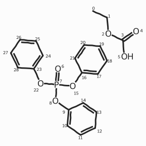 CCOC(=O)O.O=P(Oc1ccccc1)(Oc1ccccc1)Oc1ccccc1